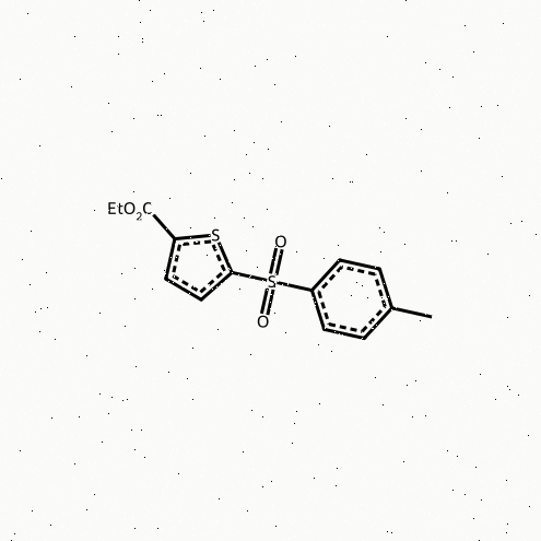 CCOC(=O)c1ccc(S(=O)(=O)c2ccc(C)cc2)s1